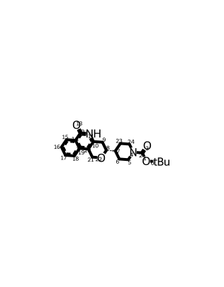 CC(C)(C)OC(=O)N1CCC([C@H]2Cc3[nH]c(=O)c4ccccc4c3CO2)CC1